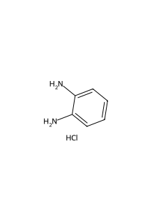 Cl.Nc1ccccc1N